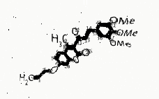 C=CCOc1ccc2c(C)c(C(=O)C=Cc3cc(OC)c(OC)c(OC)c3)c(=O)oc2c1